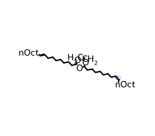 C=C.CCCCCCCCC=CCCCCCCCC(=O)OC(=O)CCCCCCC/C=C\CCCCCCCC